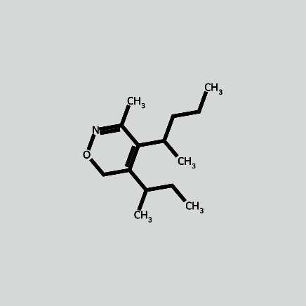 CCCC(C)C1=C(C(C)CC)CON=C1C